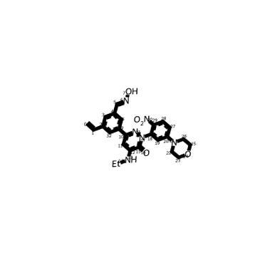 C=Cc1cc(C=NO)cc(-c2cc(NCC)c(=O)n(-c3cc(N4CCOCC4)ccc3[N+](=O)[O-])n2)c1